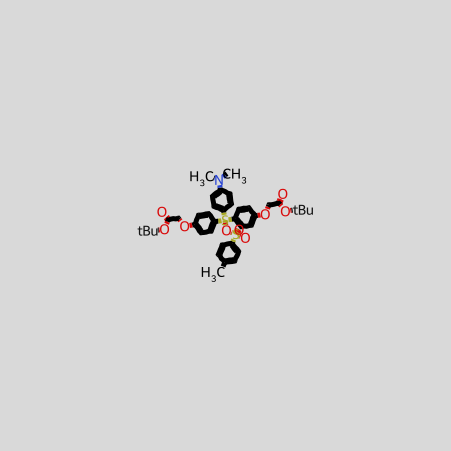 Cc1ccc(S(=O)(=O)OS(c2ccc(OCC(=O)OC(C)(C)C)cc2)(c2ccc(OCC(=O)OC(C)(C)C)cc2)c2ccc(N(C)C)cc2)cc1